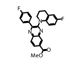 COC(=O)c1ccc2nc(-c3ccc(F)cc3)c(N3CCCc4cc(F)ccc43)nc2c1